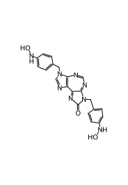 O=c1nc2c3ncn(Cc4ccc(NO)cc4)c3ncnc-2n1Cc1ccc(NO)cc1